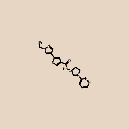 CC(C)Cn1cc(-c2cc(C(=O)N[C@H]3CCN(c4cccnn4)C3)cs2)cn1